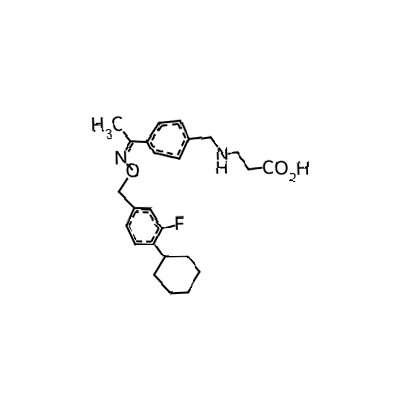 CC(=NOCc1ccc(C2CCCCC2)c(F)c1)c1ccc(CNCCC(=O)O)cc1